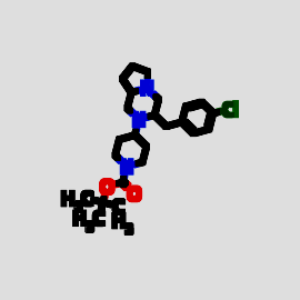 CC(C)(C)OC(=O)N1CCC(N2CC3CCCN3CC2Cc2ccc(Cl)cc2)CC1